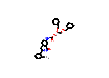 O=C(Nc1ccc2cc(-c3ccccc3C(F)(F)F)[nH]c(=O)c2c1)OC[C@@H](COCc1ccccc1)OCc1ccccc1